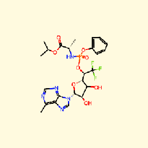 Cc1ncnc2c1ncn2[C@@H]1O[C@H]([C@@H](OP(=O)(N[C@@H](C)C(=O)OC(C)C)Oc2ccccc2)C(F)(F)F)[C@@H](O)[C@H]1O